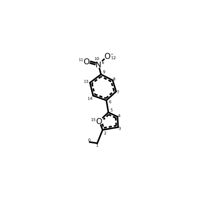 CCc1ccc(-c2ccc([N+](=O)[O-])cc2)o1